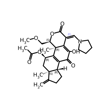 C=C1CC[C@H]2C3=C([C@H](OC(C)=O)C[C@]12C)[C@]1(C)C(=C(O)C3=O)/C(=C\N2CCCC2)C(=O)O[C@@H]1COC